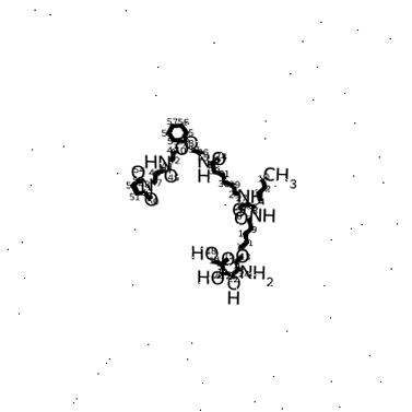 CCCCC[C@H](NC(=O)CCCCOC1OC(CO)[C@H](O)[C@H](O)[C@@H]1N)C(=O)NCCCCCC(=O)NCCOC1(OCCNC(=O)CCN2C(=O)C=CC2=O)CCCCC1